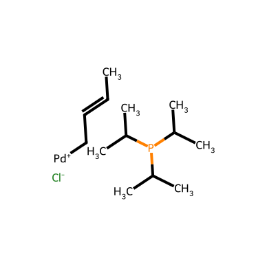 C/C=C/[CH2][Pd+].CC(C)P(C(C)C)C(C)C.[Cl-]